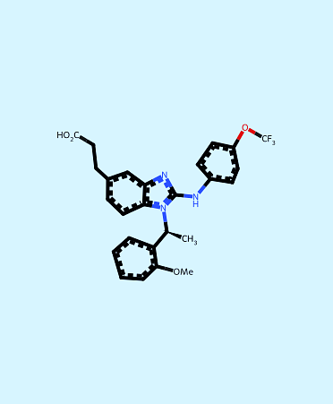 COc1ccccc1[C@H](C)n1c(Nc2ccc(OC(F)(F)F)cc2)nc2cc(CCC(=O)O)ccc21